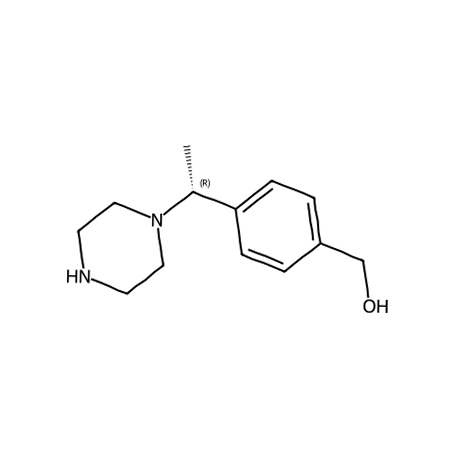 C[C@H](c1ccc(CO)cc1)N1CCNCC1